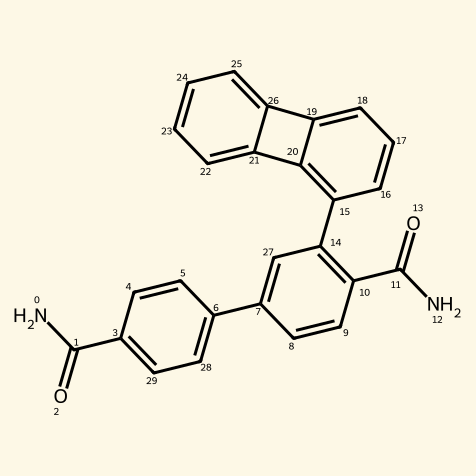 NC(=O)c1ccc(-c2ccc(C(N)=O)c(-c3cccc4c3-c3ccccc3-4)c2)cc1